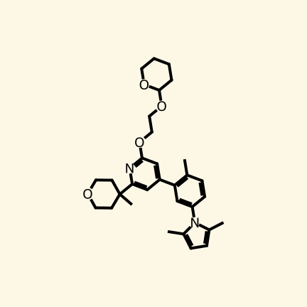 Cc1ccc(-n2c(C)ccc2C)cc1-c1cc(OCCOC2CCCCO2)nc(C2(C)CCOCC2)c1